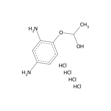 CC(O)Oc1ccc(N)cc1N.Cl.Cl.Cl.Cl